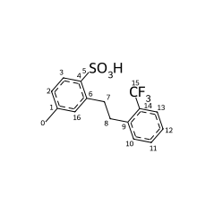 Cc1ccc(S(=O)(=O)O)c(CCc2ccccc2C(F)(F)F)c1